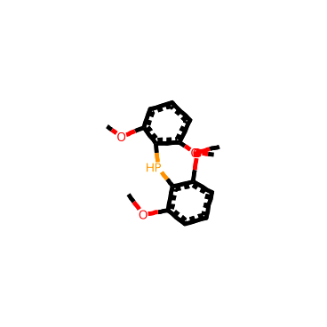 COc1cccc(OC)c1Pc1c(OC)cccc1OC